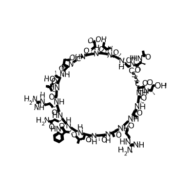 CCC(C)[C@@H]1NC(=O)[C@H](C)NC(=O)C(NC(=O)[C@H](C)NC(C)=O)CSSCC(C(=O)N[C@@H](C)C(=O)O)NC(=O)[C@H](C)NC(=O)C(C)NC(=O)[C@H](CCCNC(=N)N)NC(=O)C(C)NC(=O)[C@H](C)NC(=O)C(CC(C)C)NC(=O)[C@H](Cc2c[nH]c3ccccc23)NC(=O)[C@H](CCC(N)=O)NC(=O)[C@H](CCCNC(=N)N)NC(=O)[C@H](CC(C)C)NC(=O)C([C@@H](C)O)NC(=O)[C@@H]2CCCN2C(=O)CNC(=O)[C@H](CCC(=O)O)NC1=O